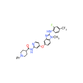 CC(C)N1CCC(C(=O)Nc2cc(Oc3ccc4c(c3)nc(Nc3ccc(C(F)(F)F)cc3F)n4C)ccn2)CC1